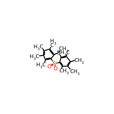 CB1c2c(C)c(C)c(C)c(C)c2S(=O)(=O)c2c(C)c(C)c(C)c(C)c21